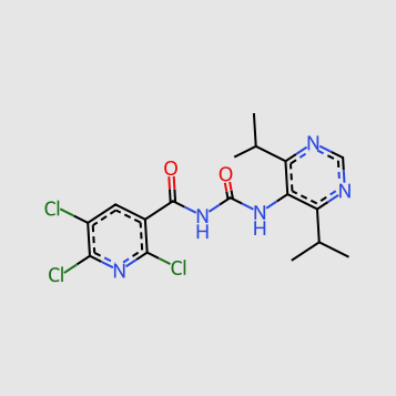 CC(C)c1ncnc(C(C)C)c1NC(=O)NC(=O)c1cc(Cl)c(Cl)nc1Cl